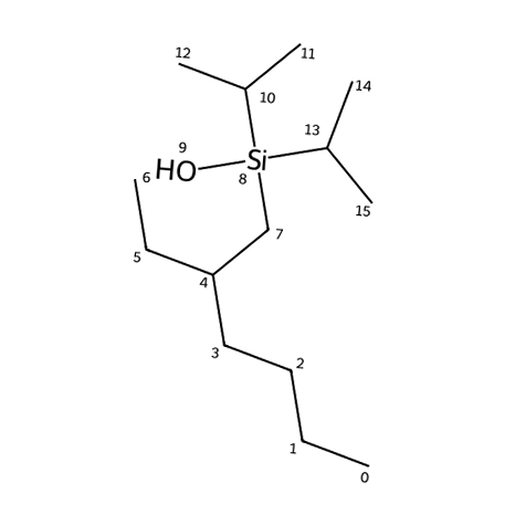 CCCCC(CC)C[Si](O)(C(C)C)C(C)C